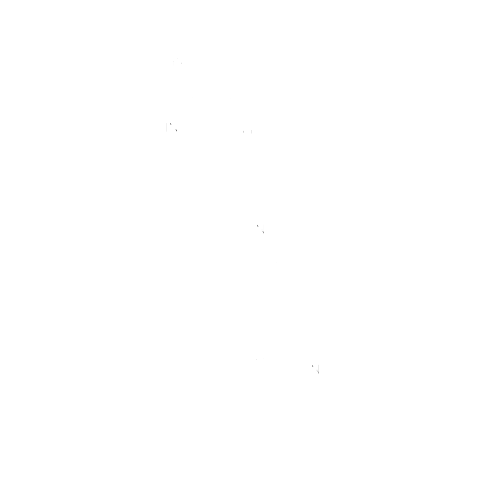 CC1OC2(CCN(CCc3c[nH]c4ccccc34)CC2)C(C)NC1=O